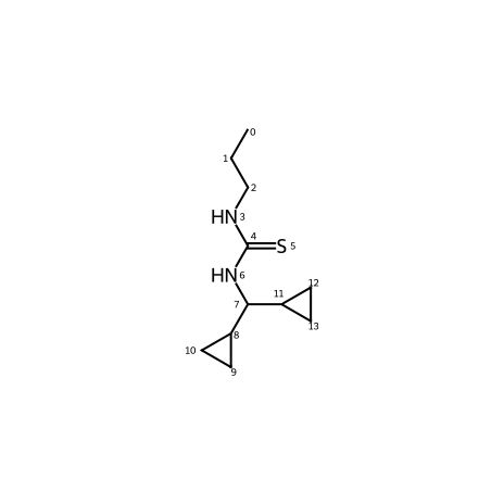 CCCNC(=S)NC(C1CC1)C1CC1